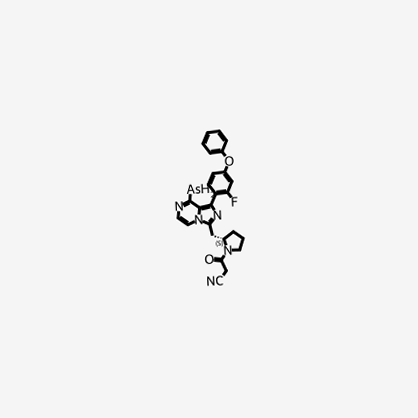 N#CCC(=O)N1CCC[C@H]1Cc1nc(-c2ccc(Oc3ccccc3)cc2F)c2c([AsH2])nccn12